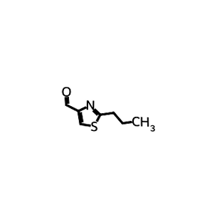 CCCc1nc(C=O)cs1